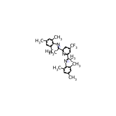 C/C(=N\c1c(C)cc(C)cc1C)c1cc(C(F)(F)F)cc(/C(C)=N/c2c(C)cc(C)cc2C)n1